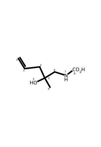 C=CCC(C)(O)CNC(=O)O